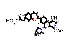 COc1cc(-c2ccc(C3CCc4ccc(CC(C)C(=O)O)cc4O3)cc2CN2CC3CC3C2)c(C#N)cn1